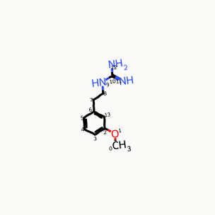 COc1cccc(CCNC(=N)N)c1